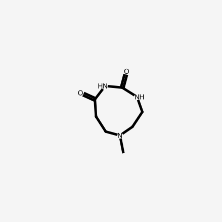 CN1CCNC(=O)NC(=O)CC1